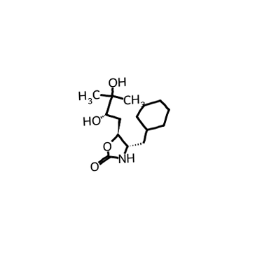 CC(C)(O)[C@@H](O)C[C@@H]1OC(=O)N[C@H]1CC1CCCCC1